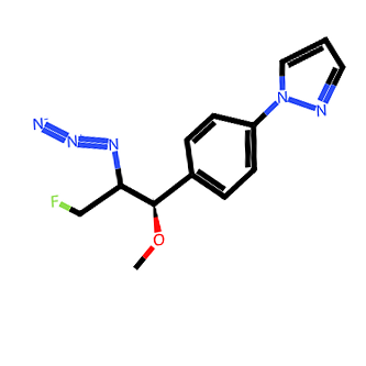 CO[C@H](c1ccc(-n2cccn2)cc1)C(CF)N=[N+]=[N-]